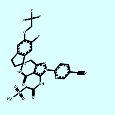 CS(=O)(=O)CC(=O)Nc1c2c(nn1-c1ccc(C#N)cn1)C[C@]1(CCc3cc(OCC(F)(F)F)c(F)cc31)NC2=O